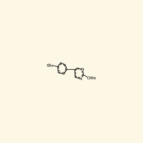 COc1ncc(-c2ccc(C(C)(C)C)cc2)cn1